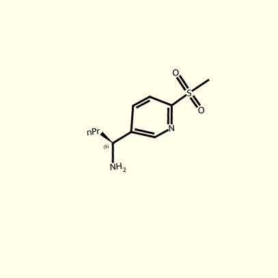 CCC[C@H](N)c1ccc(S(C)(=O)=O)nc1